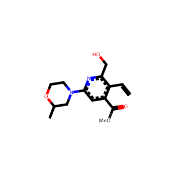 C=Cc1c(C(=O)OC)cc(N2CCOC(C)C2)nc1CO